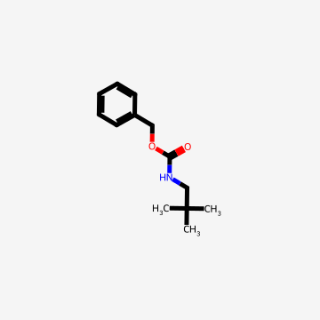 CC(C)(C)CNC(=O)OCc1ccccc1